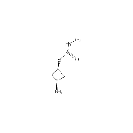 CC(C)(C)NC(=O)O[C@H]1C[C@@H](N)C1